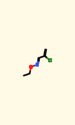 C=C(Cl)C=NOCC